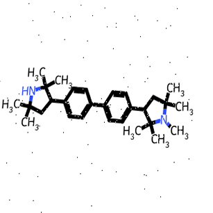 CN1C(C)(C)CC(c2ccc(-c3ccc(C4CC(C)(C)NC4(C)C)cc3)cc2)C1(C)C